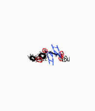 CC(C)(C)OC(=O)NCCNC(=O)c1ccc(Oc2ccccc2)cc1